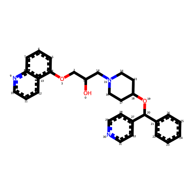 OC(COc1cccc2ncccc12)CN1CCC(OC(c2ccccc2)c2ccncc2)CC1